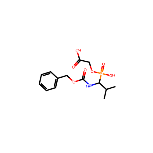 CC(C)C(NC(=O)OCc1ccccc1)P(=O)(O)OCC(=O)O